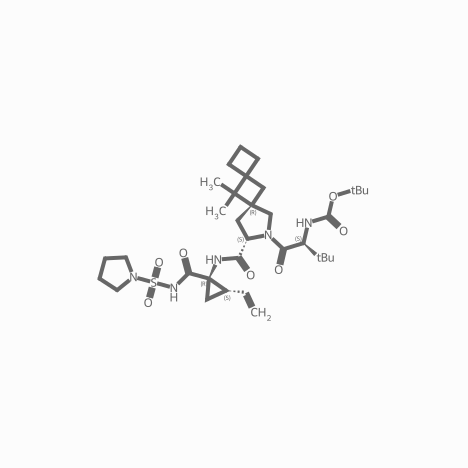 C=C[C@@H]1C[C@]1(NC(=O)[C@@H]1C[C@]2(CN1C(=O)[C@@H](NC(=O)OC(C)(C)C)C(C)(C)C)CC1(CCC1)C2(C)C)C(=O)NS(=O)(=O)N1CCCC1